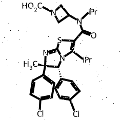 CC(C)C1=C(C(=O)N(C(C)C)C2CN(C(=O)O)C2)SC2=N[C@@](C)(c3ccc(Cl)cc3)[C@@H](c3ccc(Cl)cc3)N21